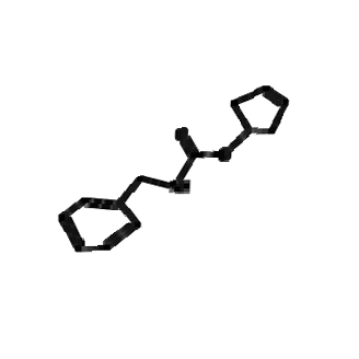 O=C(NCc1ccccc1)OC1CC=CC1